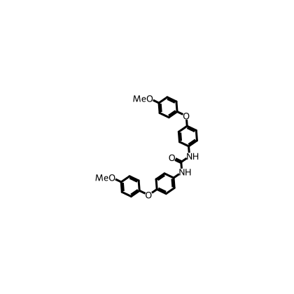 COc1ccc(Oc2ccc(NC(=O)Nc3ccc(Oc4ccc(OC)cc4)cc3)cc2)cc1